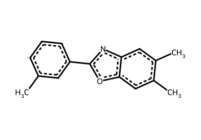 Cc1[c]ccc(-c2nc3cc(C)c(C)cc3o2)c1